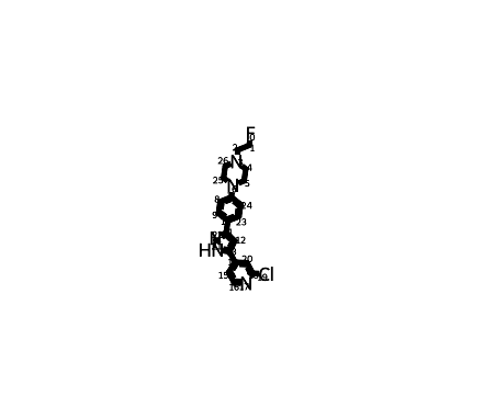 FCCN1CCN(c2ccc(-c3cc(-c4ccnc(Cl)c4)[nH]n3)cc2)CC1